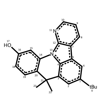 CC(C)(C)c1cc2c3c(c1)c1cccnc1n3-c1cc(O)ccc1C2(C)C